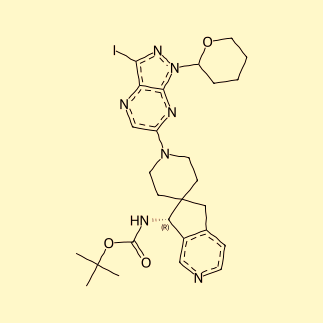 CC(C)(C)OC(=O)N[C@H]1c2cnccc2CC12CCN(c1cnc3c(I)nn(C4CCCCO4)c3n1)CC2